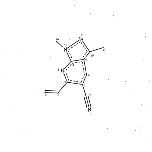 C=Cc1nc2c(cc1C#N)c(C)nn2C